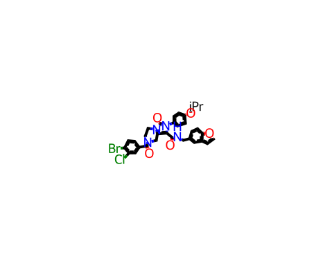 CC(C)Oc1ccc(-n2c(C(=O)NCc3ccc4occc4c3)c3n(c2=O)CCN(C(=O)c2ccc(Br)c(Cl)c2)C3)cc1